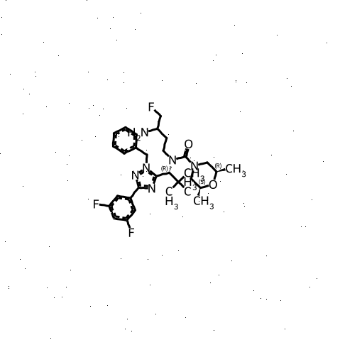 C[C@@H]1CN(C(=O)N(CCC(N)CF)[C@@H](c2nc(-c3cc(F)cc(F)c3)nn2Cc2ccccc2)C(C)(C)C)C[C@H](C)O1